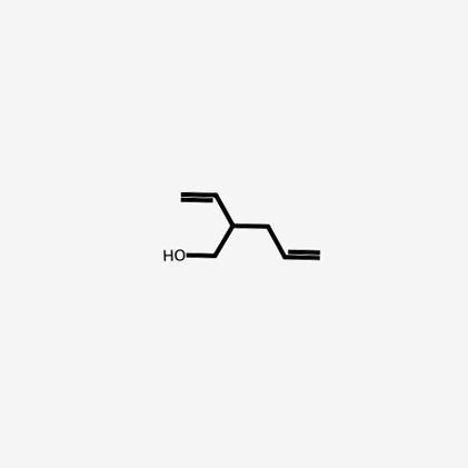 C=CCC(C=C)CO